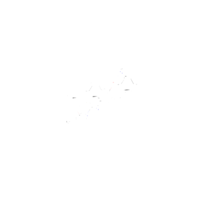 C=CCSC(=NC(=O)OC)NCCC(Cc1cccc(N)c1)C(=O)c1ccccc1